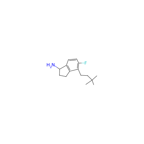 CC(C)(C)CCc1c(F)ccc2c1CCC2N